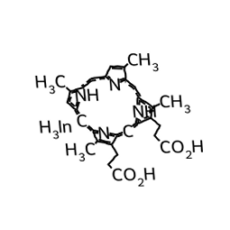 CC1=Cc2cc3[nH]c(cc4nc(cc5[nH]c(cc1n2)c(C)c5CCC(=O)O)C(CCC(=O)O)=C4C)cc3C.[InH3]